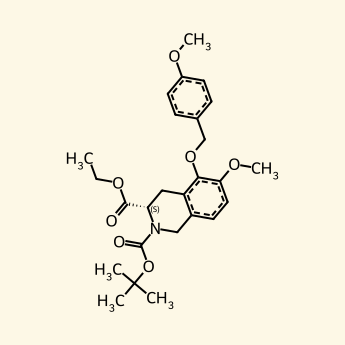 CCOC(=O)[C@@H]1Cc2c(ccc(OC)c2OCc2ccc(OC)cc2)CN1C(=O)OC(C)(C)C